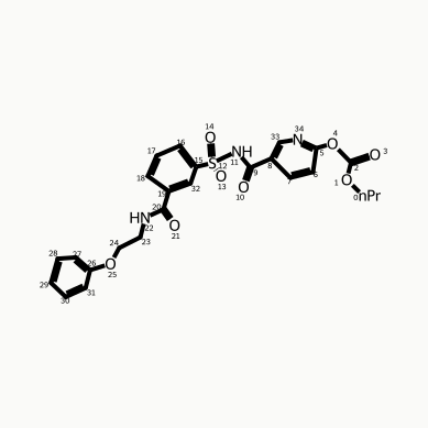 CCCOC(=O)Oc1ccc(C(=O)NS(=O)(=O)c2cccc(C(=O)NCCOc3ccccc3)c2)cn1